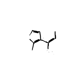 C/C=C(/N)c1ccsc1C